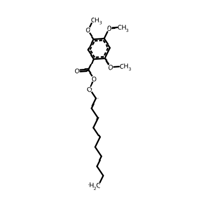 [CH2]CCCCCCCC[CH]OOC(=O)c1cc(OC)c(OC)cc1OC